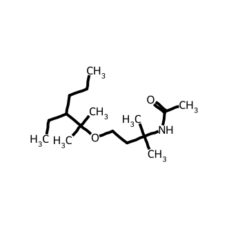 CCCC(CC)C(C)(C)OCCC(C)(C)NC(C)=O